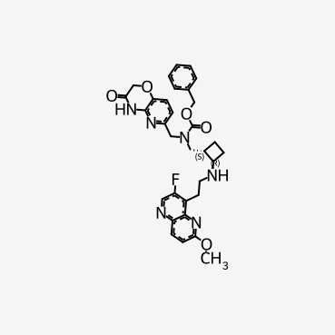 COc1ccc2ncc(F)c(CCN[C@@H]3CC[C@H]3CN(Cc3ccc4c(n3)NC(=O)CO4)C(=O)OCc3ccccc3)c2n1